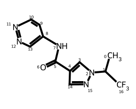 CC(n1cc(C(=O)Nc2ccnnc2)cn1)C(F)(F)F